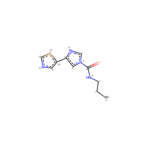 CC(C)CCNC(=O)n1cnc(-c2cncs2)c1